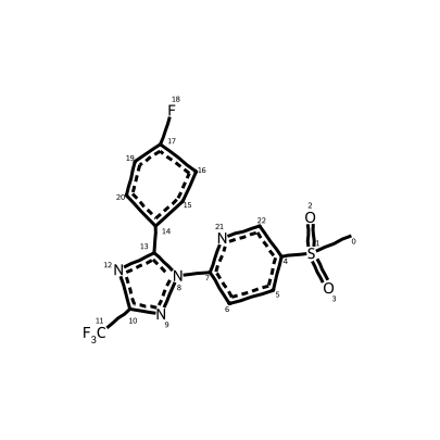 CS(=O)(=O)c1ccc(-n2nc(C(F)(F)F)nc2-c2ccc(F)cc2)nc1